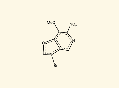 COc1c([N+](=O)[O-])ncc2c(Br)coc12